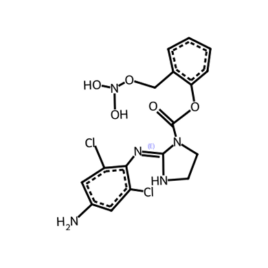 Nc1cc(Cl)c(/N=C2\NCCN2C(=O)Oc2ccccc2CON(O)O)c(Cl)c1